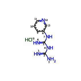 Cl.N=C(N)NC(=N)Nc1cccnc1